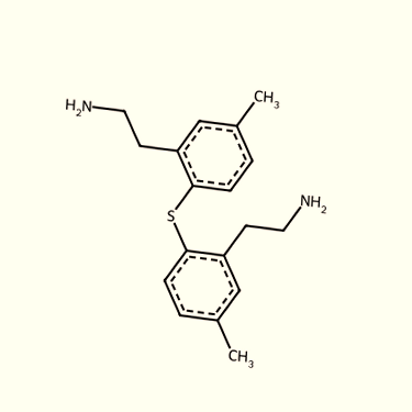 Cc1ccc(Sc2ccc(C)cc2CCN)c(CCN)c1